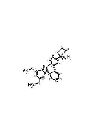 C=Cc1cc(OC)c2nc(-c3ccc(C4(N)CCC4)cc3)c(-c3ccccc3)n2n1